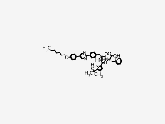 CCCCCCCOc1ccc(-c2cnc(-c3ccc(C[C@H](NC(=O)c4ccc(C(C)(C)C)s4)C(=O)N[C@@H](Cc4ccccn4)C(=O)O)cc3)nc2)cc1